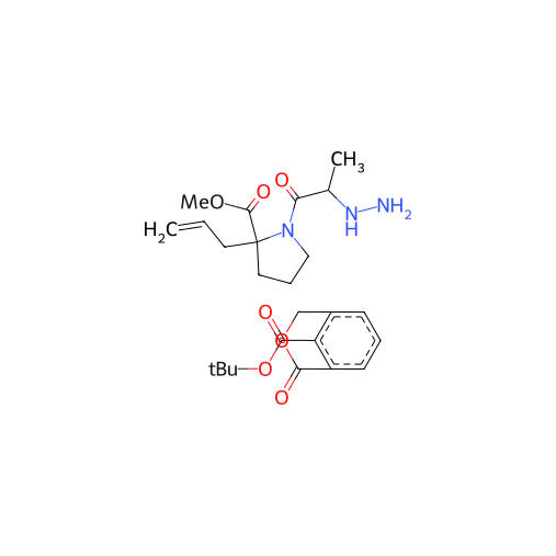 C=CCC1(C(=O)OC)CCCN1C(=O)C(C)NN.CC(C)(C)OC(=O)c1c2cccc1C(=O)OC2